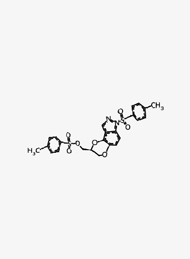 Cc1ccc(S(=O)(=O)OC[C@@H]2COc3ccc4c(cnn4S(=O)(=O)c4ccc(C)cc4)c3O2)cc1